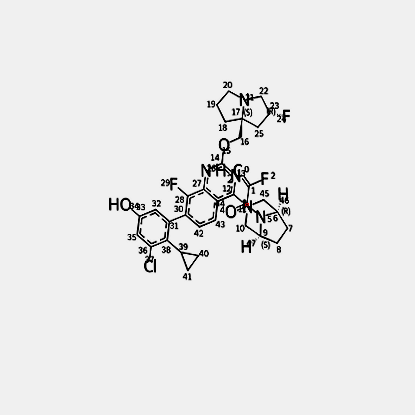 C=C(F)C(=O)N1[C@@H]2CC[C@H]1CN(c1nc(OC[C@@]34CCCN3C[C@H](F)C4)nc3c(F)c(-c4cc(O)cc(Cl)c4C4CC4)ccc13)C2